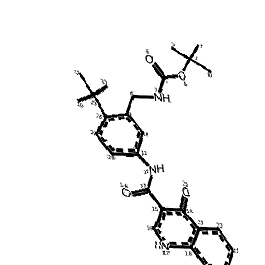 CC(C)(C)OC(=O)NCc1cc(NC(=O)c2c[nH]c3ccccc3c2=O)ccc1C(C)(C)C